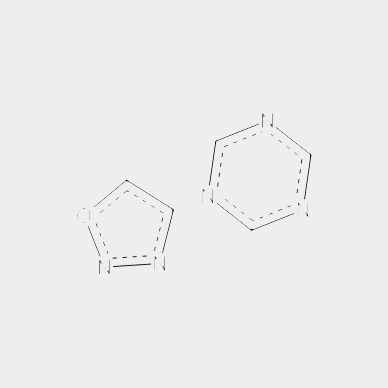 c1conn1.c1ncncn1